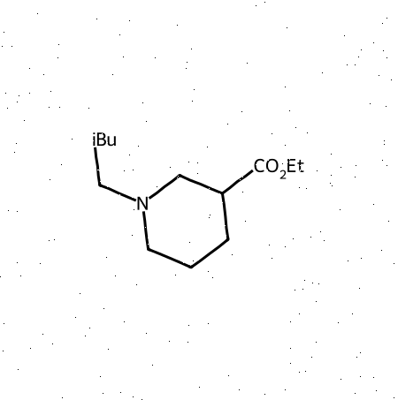 CCOC(=O)C1CCCN(CC(C)CC)C1